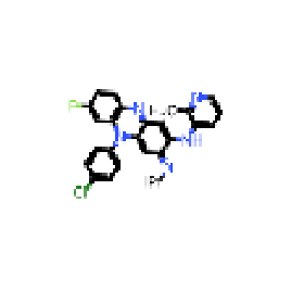 Cc1ncccc1Nc1cc2nc3ccc(F)cc3n(-c3ccc(Cl)cc3)c-2c/c1=N\C(C)C